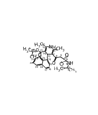 CC1=C(C(=O)CS(=O)(=O)NC(C)C)C(c2cccc3ccccc23)C(C(=O)OC(C)C)=C(C)N1